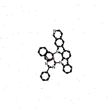 c1ccc(-c2nc(-c3ccccc3)nc(-n3c4ccccc4c4ccc5c6cc7ccncc7cc6n(-c6ccccc6)c5c43)n2)cc1